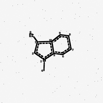 [CH2]Cc1cn(C)c2ccccc12